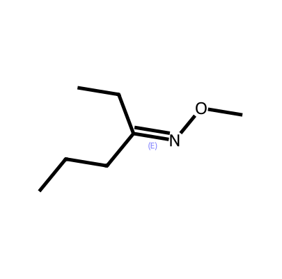 CCC/C(CC)=N/OC